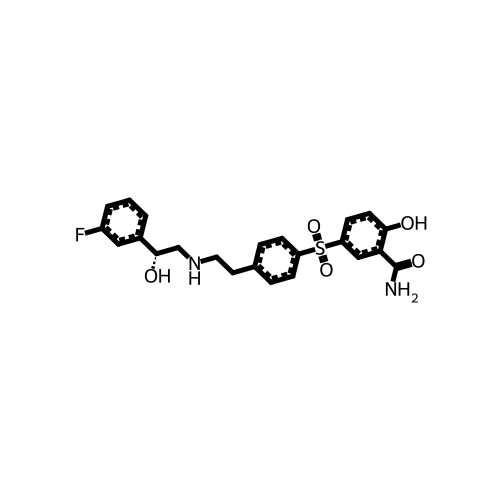 NC(=O)c1cc(S(=O)(=O)c2ccc(CCNC[C@H](O)c3cccc(F)c3)cc2)ccc1O